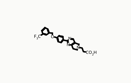 O=C(O)CCN1CCc2nc(-c3ccc(OCc4cccc(C(F)(F)F)c4)cc3)ncc2C1